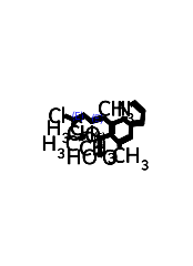 C/C(Cl)=C\C=C(/C)c1c([C@H](OC(C)(C)C)C(=O)O)c(C)cc2cccnc12